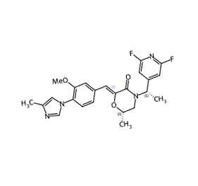 COc1cc(/C=C2\O[C@@H](C)CN([C@@H](C)c3cc(F)nc(F)c3)C2=O)ccc1-n1cnc(C)c1